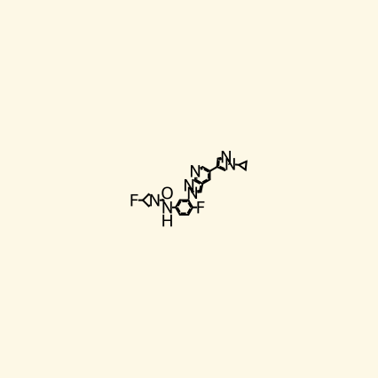 O=C(Nc1ccc(F)c(-n2cc3cc(-c4cnn(C5CC5)c4)cnc3n2)c1)N1CC(F)C1